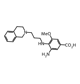 COc1cc(C(=O)O)cc(N)c1NCCCN1CCc2ccccc2C1